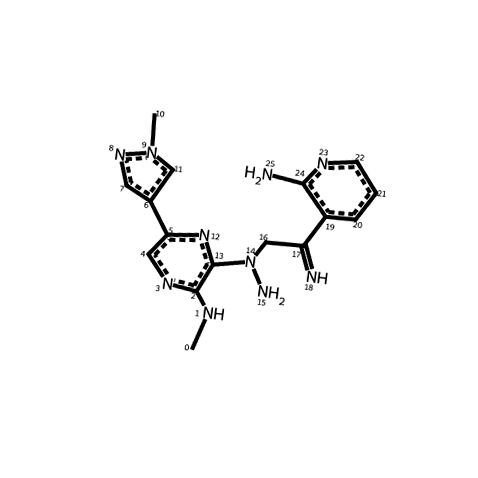 CNc1ncc(-c2cnn(C)c2)nc1N(N)CC(=N)c1cccnc1N